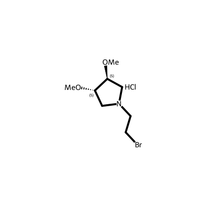 CO[C@H]1CN(CCBr)C[C@@H]1OC.Cl